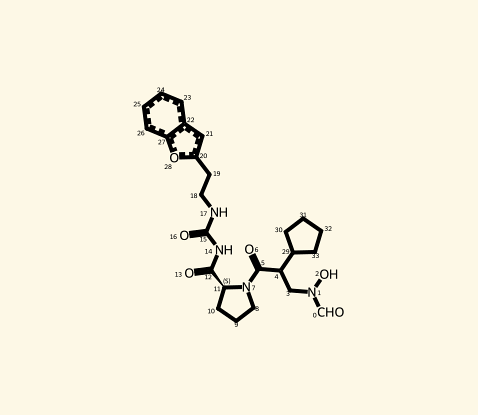 O=CN(O)CC(C(=O)N1CCC[C@H]1C(=O)NC(=O)NCCc1cc2ccccc2o1)C1CCCC1